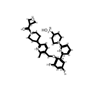 Cc1nc(C2CCN(C(=O)C3COC3)CC2)ccc1COc1c(F)cc(F)cc1-c1cccc(N2CCC(C(=O)O)CC2)n1